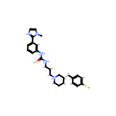 Cn1ccnc1-c1cccc(NC(=O)NCCCN2CCC[C@@H](Cc3ccc(F)cc3)C2)c1